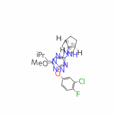 COc1cc(N2C[C@H]3CC[C@@H](C2)[C@H]3Nc2nc(Oc3ccc(F)c(Cl)c3)n(CC(C)C)n2)cnn1